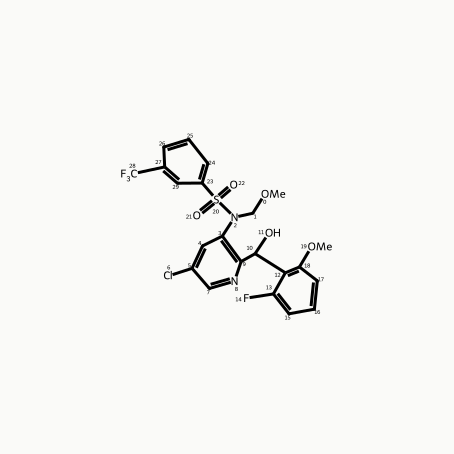 COCN(c1cc(Cl)cnc1C(O)c1c(F)cccc1OC)S(=O)(=O)c1cccc(C(F)(F)F)c1